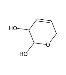 OC1C=CCOC1O